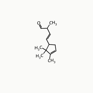 CC1=CCC(/C=C/C(C)C=O)C1(C)C